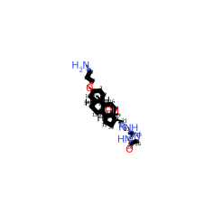 C[C@]12CC[C@H](OCCCN)C[C@H]1CC[C@@H]1[C@@H]2CC[C@]2(C)[C@@H](/C=N/NC3=NCC(=O)N3)CC[C@]12O